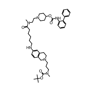 CN(CCN1CCC(OC(=O)Nc2ccccc2-c2ccccc2)CC1)C(=O)CCCCCNc1ccc2c(c1)CCN(CCCN(C)C(=O)OC(C)(C)C)C2